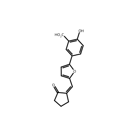 O=C1CCCC1=Cc1ccc(-c2ccc(O)c(C(=O)O)c2)o1